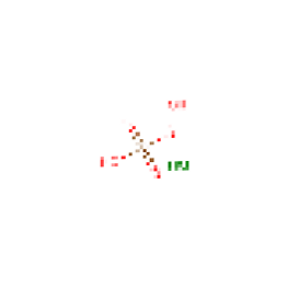 Cl.O=S(=O)(O)OO